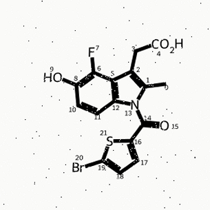 Cc1c(CC(=O)O)c2c(F)c(O)ccc2n1C(=O)c1ccc(Br)s1